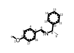 COc1ccc(C=N[C@@H](C)c2ccccc2)cc1